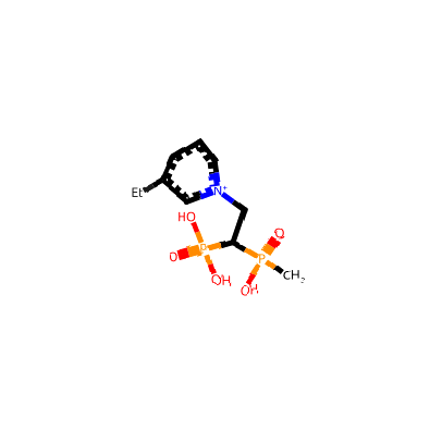 CCc1ccc[n+](CC(P(C)(=O)O)P(=O)(O)O)c1